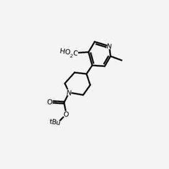 Cc1cc(C2CCN(C(=O)OC(C)(C)C)CC2)c(C(=O)O)cn1